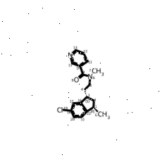 C[C@@H]1C[C@@H](CCN(C)C(=O)c2cccnc2)c2cc(Cl)ccc21